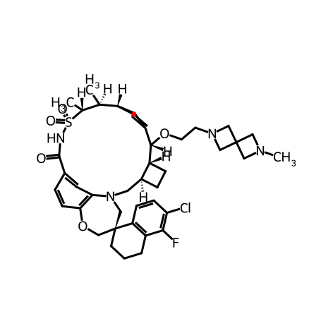 C[C@@H]1[C@@H](C)S(=O)(=O)NC(=O)c2ccc3c(c2)N(C[C@@H]2CC[C@H]2[C@@H](OCCN2CC4(CN(C)C4)C2)C2=C[C@H]1C2)C[C@@]1(CCCc2c1ccc(Cl)c2F)CO3